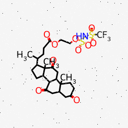 CC(CCC(=O)OCCOS(=O)(=O)NS(=O)(=O)C(F)(F)F)C1CCC2C3C(=O)CC4CC(=O)CCC4(C)C3CC(=O)C12C